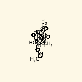 COC(=O)NCC(C)(C)CC(=O)NC(Cc1ccc(-c2cc(C)ccn2)cc1)C(O)CC(Cc1ccccc1)NC(=O)C(C1CNC(=O)N1Cc1cccc(C)n1)C(C)(C)C